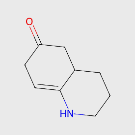 O=C1CC=C2NCCCC2C1